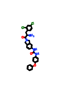 NC(Cc1ccc(Cl)cc1Cl)C(=O)N1Cc2ccc(NC(=O)Nc3ccc(Oc4ccccc4)cc3)cc2C1